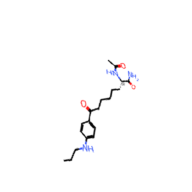 CCCNc1ccc(C(=O)CCCCC[C@H](NC(C)=O)C(N)=O)cc1